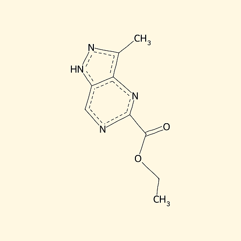 CCOC(=O)c1ncc2[nH]nc(C)c2n1